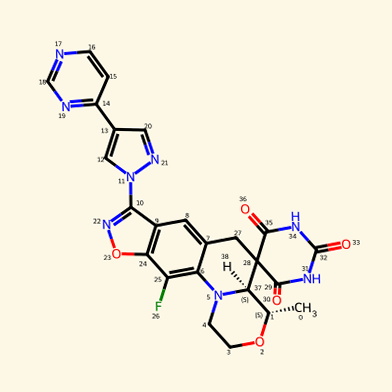 C[C@@H]1OCCN2c3c(cc4c(-n5cc(-c6ccncn6)cn5)noc4c3F)CC3(C(=O)NC(=O)NC3=O)[C@@H]12